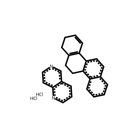 C1=CC2=C(CC1)CCc1c2ccc2ccccc12.Cl.Cl.c1cnc2ccncc2c1